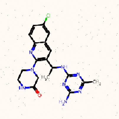 Cc1nc(N)nc(NC(C)c2cc3cc(Cl)ccc3nc2N2CCNC(=O)C2)n1